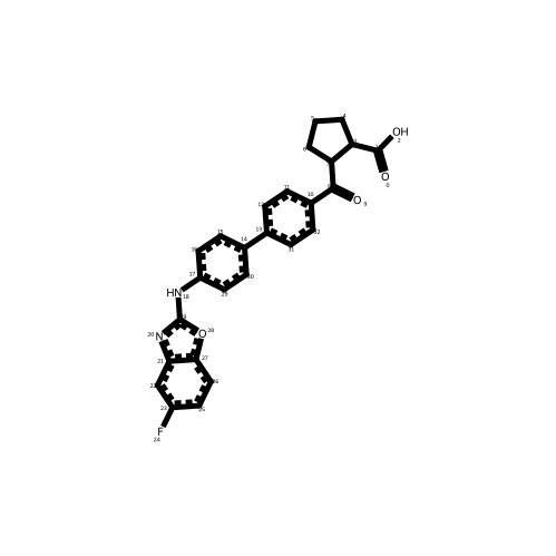 O=C(O)C1CCCC1C(=O)c1ccc(-c2ccc(Nc3nc4cc(F)ccc4o3)cc2)cc1